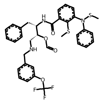 CSc1c(C(=O)N[C@@H](Cc2ccccc2)[C@@H](CNCc2cccc(OC(F)(F)F)c2)OC=O)cccc1N(SC)c1ccccc1